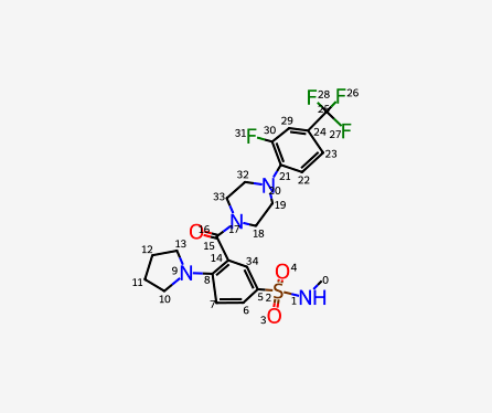 CNS(=O)(=O)c1ccc(N2CCCC2)c(C(=O)N2CCN(c3ccc(C(F)(F)F)cc3F)CC2)c1